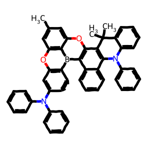 Cc1cc2c3c(c1)Oc1c4c(c5ccccc5c1B3c1c(cc(N(c3ccccc3)c3ccccc3)c3ccccc13)O2)N(c1ccccc1)c1ccccc1C4(C)C